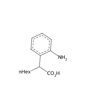 CCCCCCC(C(=O)O)c1ccccc1N